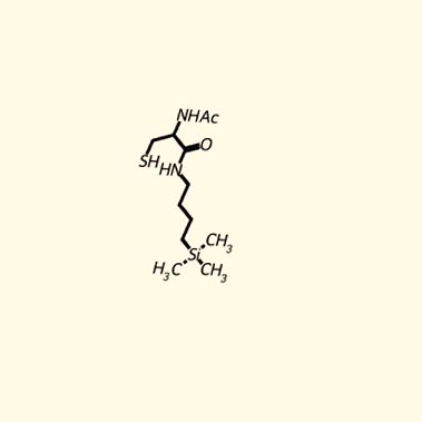 CC(=O)NC(CS)C(=O)NCCCC[Si](C)(C)C